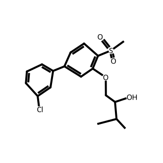 CC(C)C(O)COc1cc(-c2cccc(Cl)c2)ccc1S(C)(=O)=O